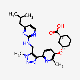 Cc1nc(-c2nnn(C)c2CNc2nccc(CC(C)C)n2)ccc1O[C@H]1CCC[C@H](C(=O)O)C1